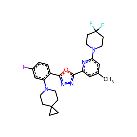 Cc1cc(-c2nnc(-c3ccc(I)cc3N3CCC4(CC3)CC4)o2)nc(N2CCC(F)(F)CC2)c1